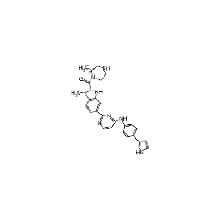 CC1c2ccc(-c3nccc(Nc4ccc(-c5cn[nH]c5)cc4)n3)cc2NC1C(=O)N1CCNC[C@H]1C